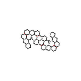 c1ccc2c(B(c3c4ccccc4cc4ccccc34)c3ccc4ccc5c(B(c6c7ccccc7cc7ccccc67)c6c7ccccc7cc7ccccc67)ccc6ccc3c4c65)c3ccccc3cc2c1